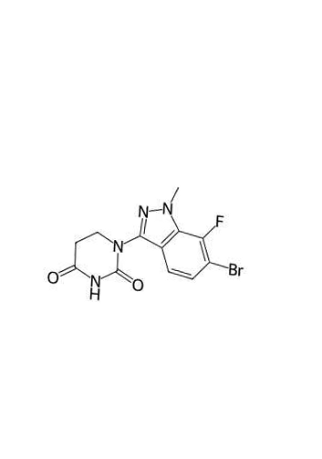 Cn1nc(N2CCC(=O)NC2=O)c2ccc(Br)c(F)c21